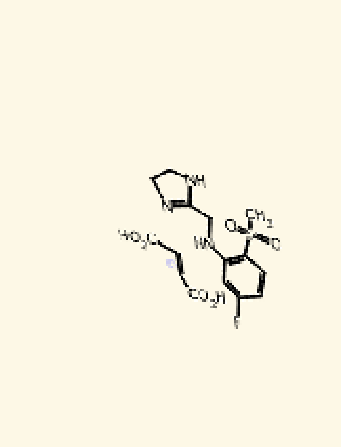 CS(=O)(=O)c1ccc(F)cc1NCC1=NCCN1.O=C(O)/C=C/C(=O)O